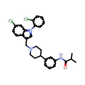 CC(C)C(=O)Nc1cccc(C2CCN(Cc3cn(-c4ccccc4Cl)c4cc(Cl)ccc34)CC2)c1